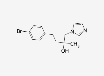 CC(O)(CCc1ccc(Br)cc1)Cn1ccnc1